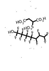 O=C(O)CC(C(=O)O)S(=O)(=O)O.OC(F)(F)C(F)(F)C(F)(F)C(F)(F)C(F)C(F)C(F)F